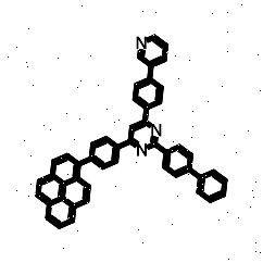 c1ccc(-c2ccc(-c3nc(-c4ccc(-c5cccnc5)cc4)cc(-c4ccc(-c5ccc6ccc7cccc8ccc5c6c78)cc4)n3)cc2)cc1